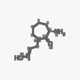 N[C@H]1CCCCN(CC=NO)C1=O